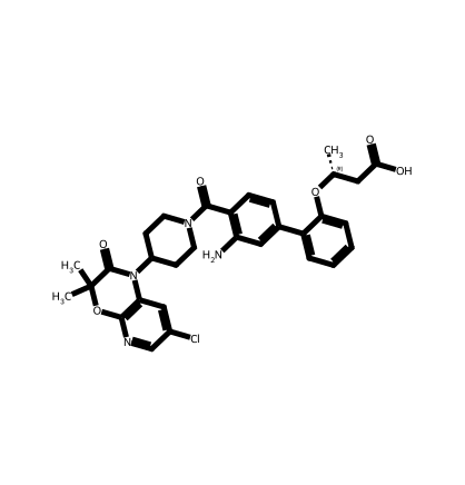 C[C@H](CC(=O)O)Oc1ccccc1-c1ccc(C(=O)N2CCC(N3C(=O)C(C)(C)Oc4ncc(Cl)cc43)CC2)c(N)c1